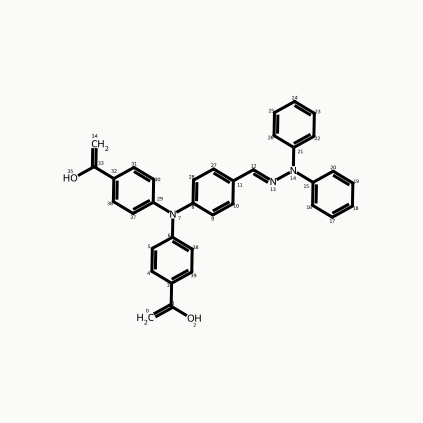 C=C(O)c1ccc(N(c2ccc(C=NN(c3ccccc3)c3ccccc3)cc2)c2ccc(C(=C)O)cc2)cc1